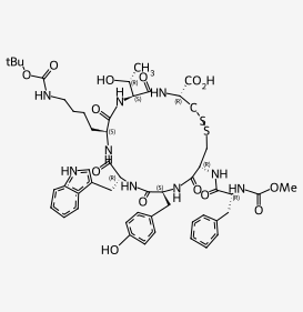 COC(=O)N[C@H](Cc1ccccc1)C(=O)N[C@H]1CSSC[C@@H](C(=O)O)NC(=O)[C@H]([C@@H](C)O)NC(=O)[C@H](CCCCNC(=O)OC(C)(C)C)NC(=O)[C@@H](Cc2c[nH]c3ccccc23)NC(=O)[C@H](Cc2ccc(O)cc2)NC1=O